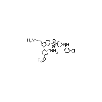 NCCCn1cc(-c2ccc(OC(F)(F)F)cc2CN)c2cc(S(=O)(=O)N3CCC(Nc4cccc(Cl)c4)CC3)ccc21